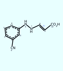 N#Cc1ccnc(NN/C=C/C(=O)O)c1